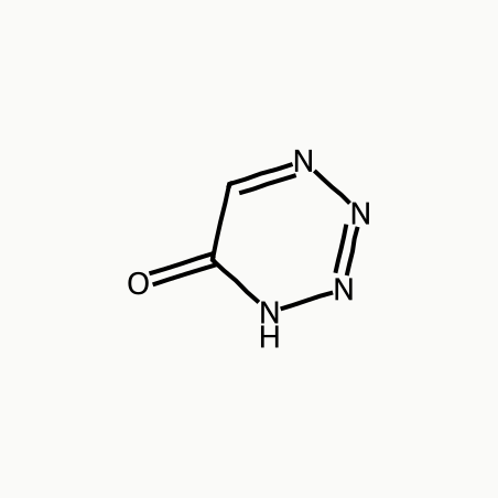 O=c1cnnn[nH]1